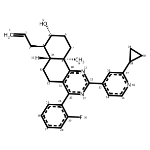 C=CC[C@H]1[C@H](O)CC[C@@]2(C)c3nc(-c4ccnc(C5CC5)c4)nc(-c4ccccc4F)c3CC[C@H]12